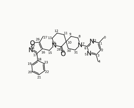 Cc1cc(C)nc(N2CCC3(CCCN(Cc4c(-c5ccccc5)noc4C)C3=O)CC2)n1